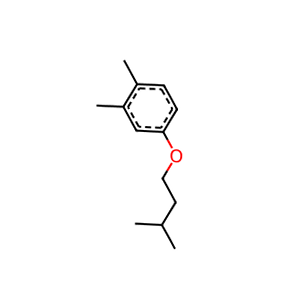 Cc1ccc(OCCC(C)C)cc1C